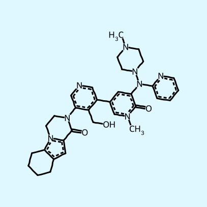 CN1CCN(N(c2ccccn2)c2cc(-c3cncc(N4CCn5c(cc6c5CCCC6)C4=O)c3CO)cn(C)c2=O)CC1